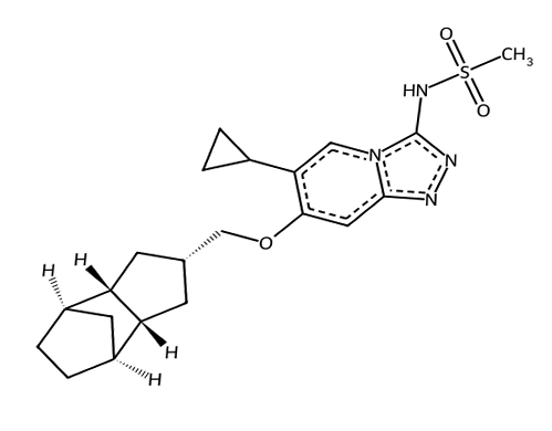 CS(=O)(=O)Nc1nnc2cc(OC[C@@H]3C[C@@H]4[C@H]5CC[C@H](C5)[C@@H]4C3)c(C3CC3)cn12